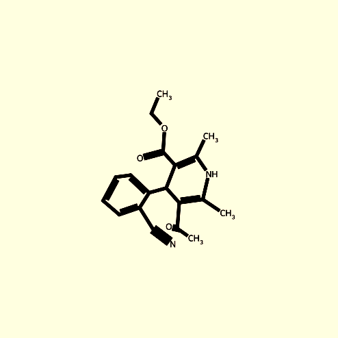 CCOC(=O)C1=C(C)NC(C)=C(C(C)=O)C1c1ccccc1C#N